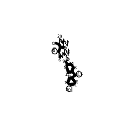 Cc1c2c(=O)n(C)c(SCc3ccc(C(=O)c4ccc(Cl)cc4)cc3)nc2nn1C